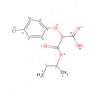 CCC(C)OC(=O)C(Oc1ccc(Cl)cc1)C(=O)O